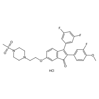 COc1ccc(C2=C(c3cc(F)cc(F)c3)c3ccc(OCCN4CCN(S(C)(=O)=O)CC4)cc3C2=O)cc1F.Cl